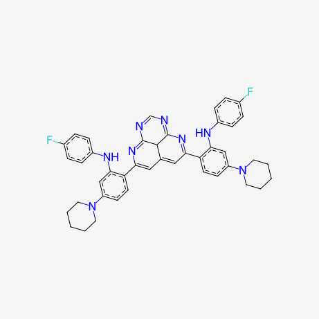 Fc1ccc(Nc2cc(N3CCCCC3)ccc2C2=CC3=CC(c4ccc(N5CCCCC5)cc4Nc4ccc(F)cc4)=NC4=NC=NC(=N2)C34)cc1